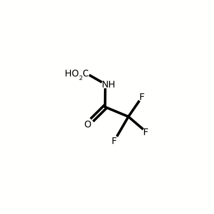 O=C(O)NC(=O)C(F)(F)F